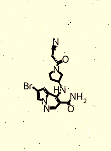 N#CCC(=O)N1CC[C@H](Nc2c(C(N)=O)cnn3cc(Br)cc23)C1